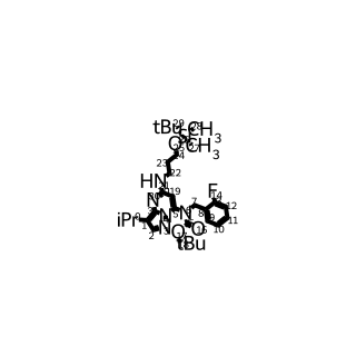 CC(C)c1cnn2c(N(Cc3ccccc3F)C(=O)OC(C)(C)C)cc(NCCCO[Si](C)(C)C(C)(C)C)nc12